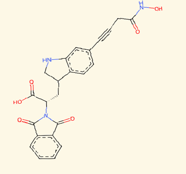 O=C(CC#Cc1ccc2c(c1)NCC2C[C@@H](C(=O)O)N1C(=O)c2ccccc2C1=O)NO